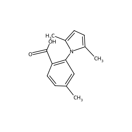 Cc1ccc(C(=O)O)c(-n2c(C)ccc2C)c1